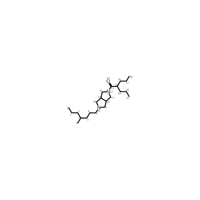 CCCC(C)CCCN1CC2CN(C(=O)C(CCC)CCC)CC2C1